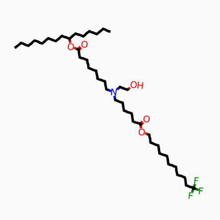 CCCCCCCCC(CCCCCC)OC(=O)CCCCCCCN(CCO)CCCCCC(=O)OCCCCCCCCCCC(F)(F)F